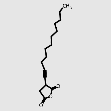 CCCCCCCCCCC#CC1CC(=O)OC1=O